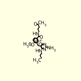 CCCCNc1nc(N)nc(C)c1Cc1cc(C(=O)NCCCC(C)=O)ccc1OC